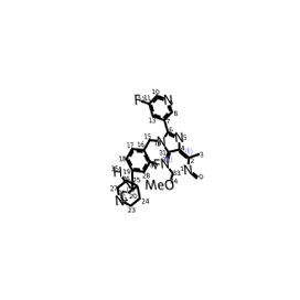 C=N/C(C)=C1/N=C(c2cncc(F)c2)N(Cc2ccc([C@H]3CN4CCC3CC4)cc2F)/C1=N/COC